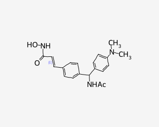 CC(=O)NC(c1ccc(/C=C/C(=O)NO)cc1)c1ccc(N(C)C)cc1